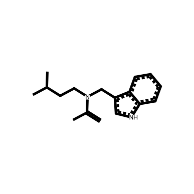 C=C(C)N(CCC(C)C)Cc1c[nH]c2ccccc12